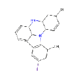 CCC1C=CC2C(C1)NC1C=CC=C3C4=C(C(C)CC(I)=C4)N2C31